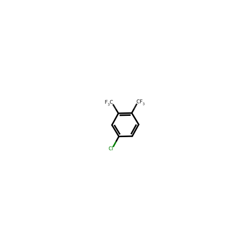 FC(F)(F)c1ccc(Cl)cc1C(F)(F)F